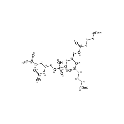 CCCCCCCCCCCCCC(=O)OC[C@H](COP(=O)(O)OCC(COC(=O)CCC)OC(=O)CCC)OC(=O)CCCCCCCCCCCCC